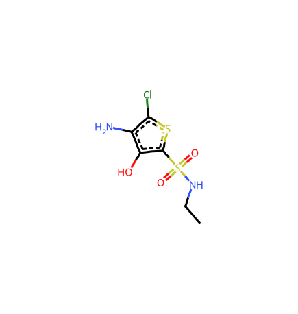 CCNS(=O)(=O)c1sc(Cl)c(N)c1O